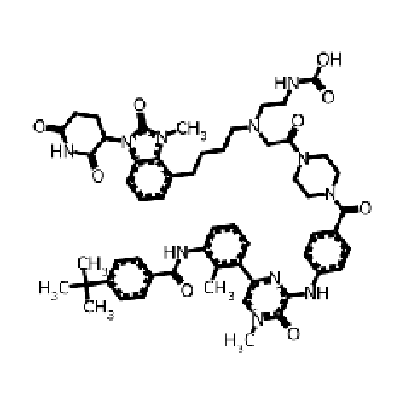 Cc1c(NC(=O)c2ccc(C(C)(C)C)cc2)cccc1-c1cn(C)c(=O)c(Nc2ccc(C(=O)N3CCN(C(=O)CN(CCCCc4cccc5c4n(C)c(=O)n5C4CCC(=O)NC4=O)CCNC(=O)O)CC3)cc2)n1